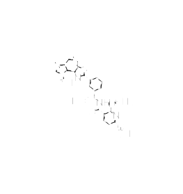 COc1ccc(C(=O)N[C@@H](C)c2cccc(-c3nc4c(ncc5ncn(C)c54)s3)c2)c(OC)n1